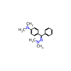 CN(C)N=C(c1ccccc1)c1ccc(N(C)C)cc1